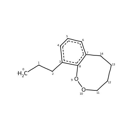 [CH2]CCc1cccc2c1OOCCCC2